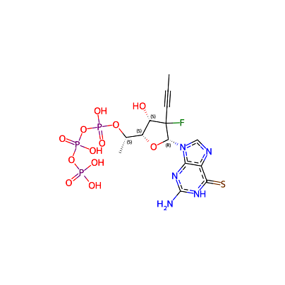 CC#CC1(F)[C@@H](O)[C@@H]([C@H](C)OP(=O)(O)OP(=O)(O)OP(=O)(O)O)O[C@H]1n1cnc2c(=S)[nH]c(N)nc21